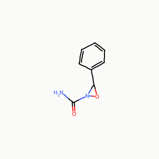 NC(=O)N1OC1c1ccccc1